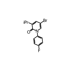 CC(C)c1cc(Br)cn(-c2ccc(F)cc2)c1=O